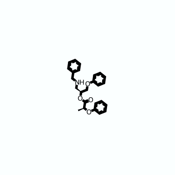 C[C@H](Oc1ccccc1)C(=O)O[C@@H](CNCc1ccccc1)COc1ccccc1